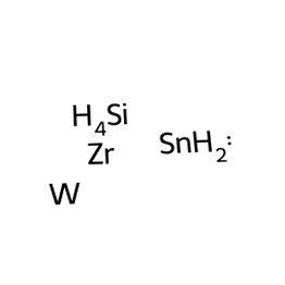 [SiH4].[SnH2].[W].[Zr]